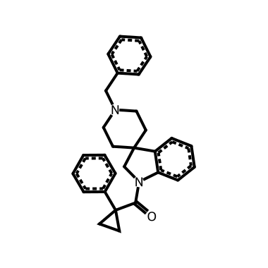 O=C(N1CC2(CCN(Cc3ccccc3)CC2)c2ccccc21)C1(c2ccccc2)CC1